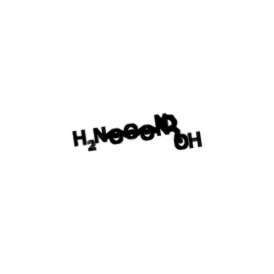 NCCOCCOCCOCCN1C=C(CCO)CCC=N1